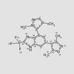 Cc1cnn(C)c1-c1cc(-c2c(C)noc2C)cc2[nH]c(C(F)(F)F)nc12